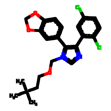 C[Si](C)(C)CCOCn1cnc(-c2cc(Cl)ccc2Cl)c1-c1ccc2c(c1)OCO2